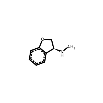 CN[C@@H]1COc2c[c]ccc21